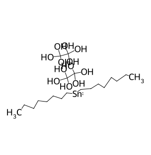 CCCCCCC[CH2][Sn][CH2]CCCCCCC.OC(O)(O)C(O)(O)O.OC(O)(O)C(O)(O)O